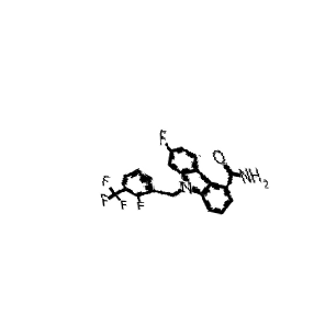 NC(=O)c1cccc2c1c1[c]cc(F)cc1n2Cc1cccc(C(F)(F)F)c1F